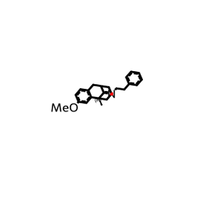 COc1ccc2c(c1)[C@@]1(C)CCCC(C2)C1=NCCc1ccccc1